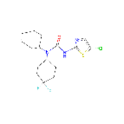 O=C(Nc1ncc(Cl)s1)N(C1CCCCC1)C1CCC(F)(F)CC1